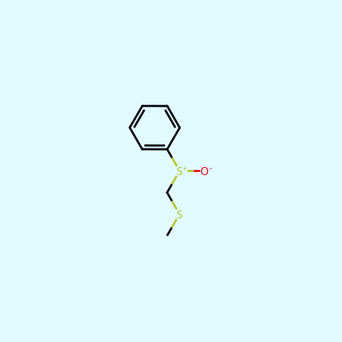 CSC[S+]([O-])c1ccccc1